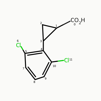 O=C(O)C1CC1c1c(Cl)cccc1Cl